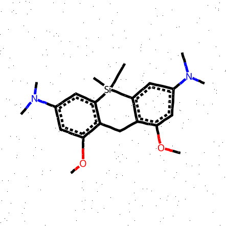 COc1cc(N(C)C)cc2c1Cc1c(OC)cc(N(C)C)cc1[Si]2(C)C